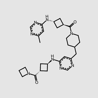 Cc1cc(N[C@H]2C[C@H](C(=O)N3CCC(Cc4cc(N[C@H]5C[C@H](C(=O)N6CCC6)C5)ncn4)CC3)C2)ncn1